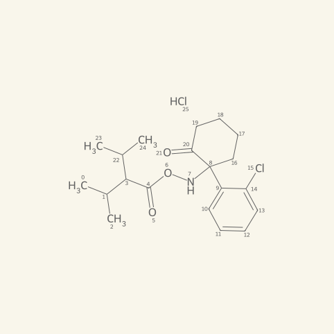 CC(C)C(C(=O)ONC1(c2ccccc2Cl)CCCCC1=O)C(C)C.Cl